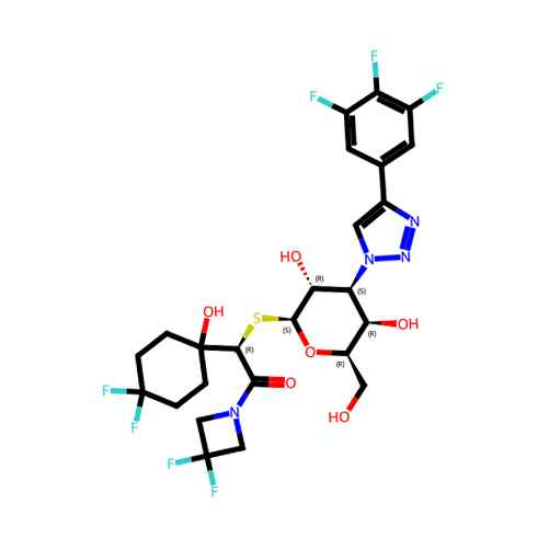 O=C([C@H](S[C@@H]1O[C@H](CO)[C@H](O)[C@H](n2cc(-c3cc(F)c(F)c(F)c3)nn2)[C@H]1O)C1(O)CCC(F)(F)CC1)N1CC(F)(F)C1